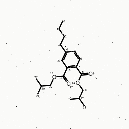 CCCCc1ccc(C(=O)OCC(C)C)c(C(=O)OCC(C)C)c1